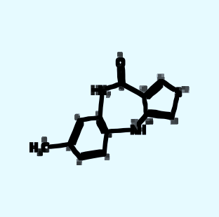 Cc1ccc2c(c1)NC(=O)c1cscc1N2